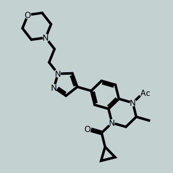 CC(=O)N1c2ccc(-c3cnn(CCN4CCOCC4)c3)cc2N(C(=O)C2CC2)CC1C